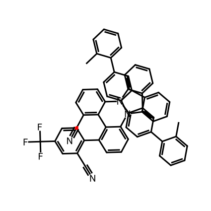 Cc1ccccc1-c1ccc2c(c1)c1ccccc1n2-c1cccc(C#N)c1-c1c(-c2ccc(C(F)(F)F)cc2C#N)cccc1-n1c2ccccc2c2cc(-c3ccccc3C)ccc21